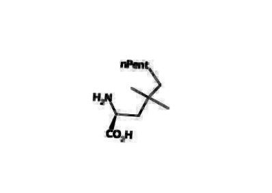 CCCCCCC(C)(C)C[C@H](N)C(=O)O